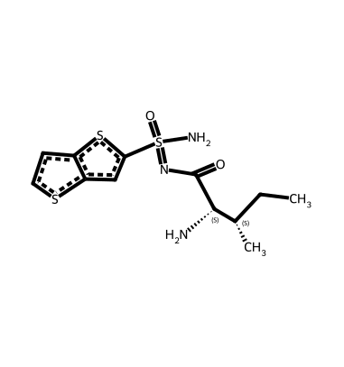 CC[C@H](C)[C@H](N)C(=O)N=S(N)(=O)c1cc2sccc2s1